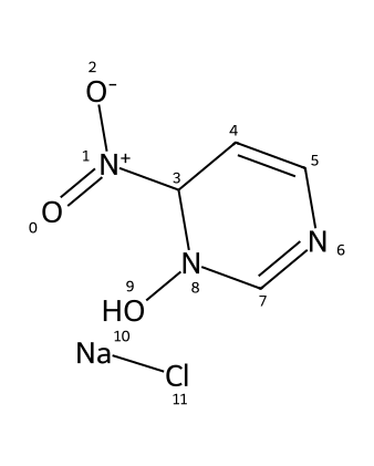 O=[N+]([O-])C1C=CN=CN1O.[Na][Cl]